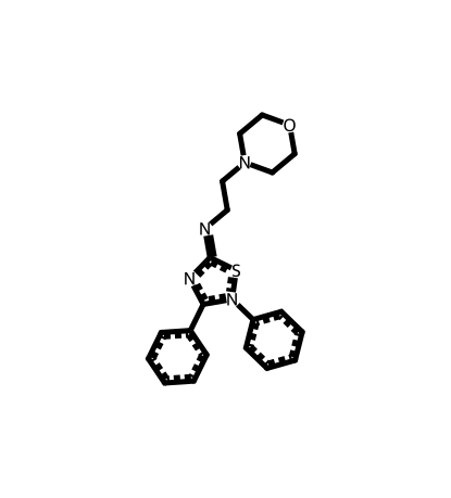 c1ccc(-c2n/c(=N/CCN3CCOCC3)sn2-c2ccccc2)cc1